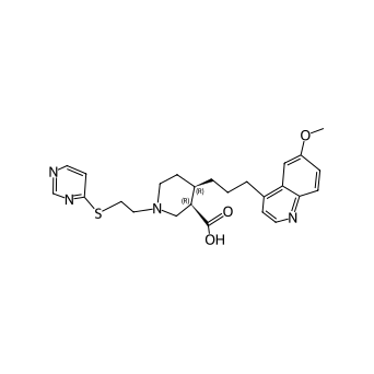 COc1ccc2nccc(CCC[C@@H]3CCN(CCSc4ccncn4)C[C@@H]3C(=O)O)c2c1